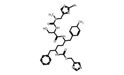 CC1C=CC(CC(CCC(Cc2ccccc2)NC(=O)OCc2cncs2)NC(=O)C(CO)NC(=O)N(C)Cc2csc(C(C)C)n2)=CC1